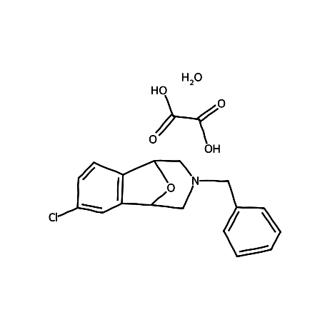 Clc1ccc2c(c1)C1CN(Cc3ccccc3)CC2O1.O.O=C(O)C(=O)O